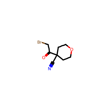 N#CC1(C(=O)CBr)CCOCC1